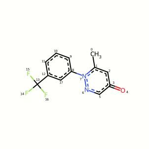 Cc1cc(=O)cnn1-c1cccc(C(F)(F)F)c1